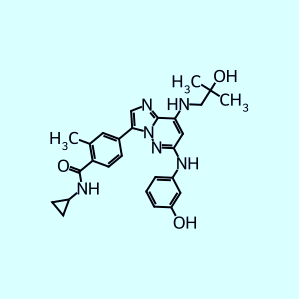 Cc1cc(-c2cnc3c(NCC(C)(C)O)cc(Nc4cccc(O)c4)nn23)ccc1C(=O)NC1CC1